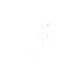 Cc1nnc(-c2c3c(nn2C)C2(C)CCC(=O)C(C)(C)[C@@H]2CC3)o1